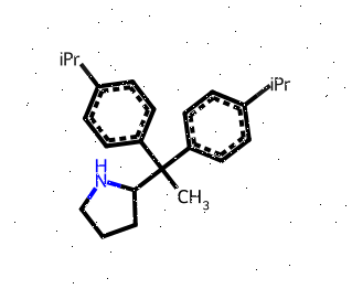 CC(C)c1ccc(C(C)(c2ccc(C(C)C)cc2)C2CCCN2)cc1